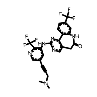 CN(C)CC#Cc1cnc(C(F)(F)F)c(Nc2ncc3c(n2)-c2ccc(C(F)(F)F)cc2NC(=O)C3)c1